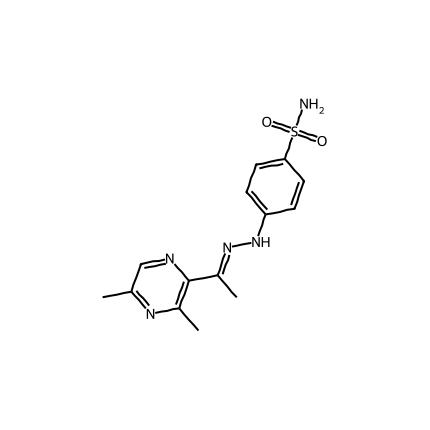 C/C(=N\Nc1ccc(S(N)(=O)=O)cc1)c1ncc(C)nc1C